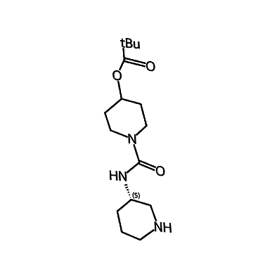 CC(C)(C)C(=O)OC1CCN(C(=O)N[C@H]2CCCNC2)CC1